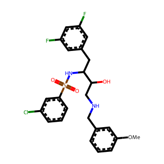 COc1cccc(CNCC(O)C(Cc2cc(F)cc(F)c2)NS(=O)(=O)c2cccc(Cl)c2)c1